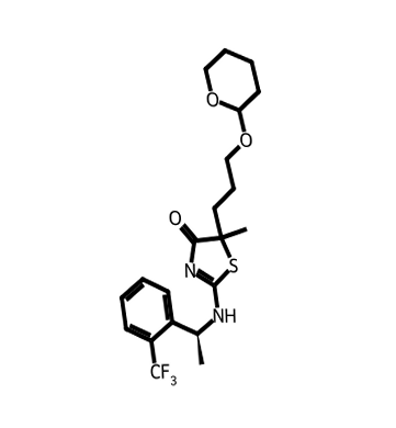 C[C@H](NC1=NC(=O)C(C)(CCCOC2CCCCO2)S1)c1ccccc1C(F)(F)F